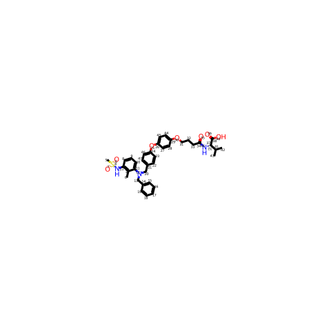 Cc1c(NS(C)(=O)=O)cccc1N(Cc1ccccc1)Cc1ccc(Oc2ccc(OCCCC(=O)N[C@H](C(=O)O)C(C)C)cc2)cc1